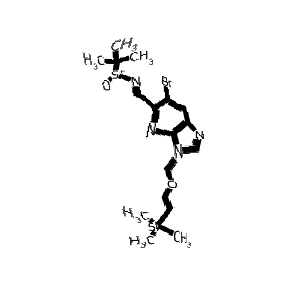 CC(C)(C)[S+]([O-])N=Cc1nc2c(cc1Br)ncn2COCC[Si](C)(C)C